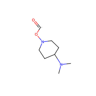 CN(C)C1CCN(O[C]=O)CC1